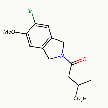 COc1cc2c(cc1Br)CN(C(=O)CC(C)C(=O)O)C2